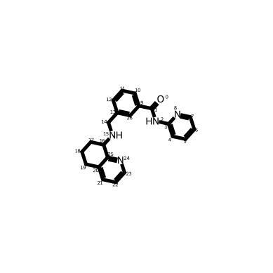 O=C(Nc1ccccn1)c1cccc(CNC2CCCc3cccnc32)c1